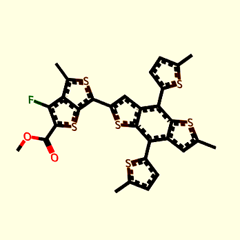 COC(=O)c1sc2c(-c3cc4c(-c5ccc(C)s5)c5sc(C)cc5c(-c5ccc(C)s5)c4s3)sc(C)c2c1F